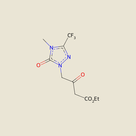 CCOC(=O)CC(=O)Cn1nc(C(F)(F)F)n(C)c1=O